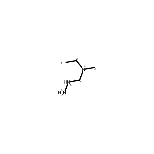 CN(CI)CNN